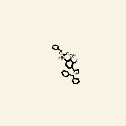 O=C(Nc1ccc(C2CCN2C(c2ccccc2)c2ccccc2)c(F)c1O)OCc1ccccc1